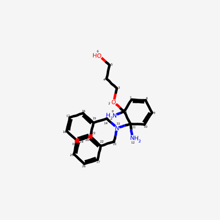 NC1(OCCCO)C=CC=CC1(N)N(Cc1ccccc1)Cc1ccccc1